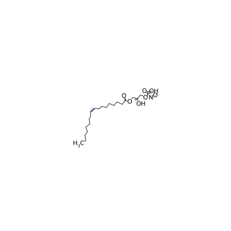 CCCCCCCC/C=C\CCCCCCCC(=O)OC[C@@H](O)COP(=O)(O)N=O